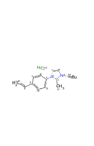 C=Cc1ccc(N2C=CN(CCCC)C2C)cc1.Cl